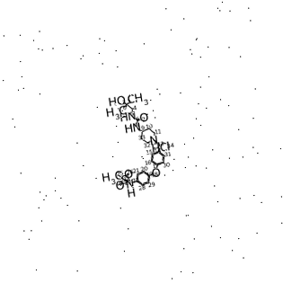 CC(C)(O)CNC(=O)NC1CCN(Cc2ccc(Oc3ccc(NS(C)(=O)=O)cc3)cc2)CC1.Cl